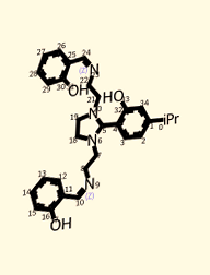 CC(C)c1ccc(C2N(CC/N=C\c3ccccc3O)CCN2CC/N=C\c2ccccc2O)c(O)c1